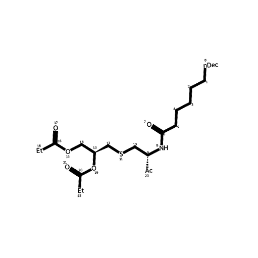 CCCCCCCCCCCCCCCC(=O)N[C@@H](CSC[C@H](COC(=O)CC)OC(=O)CC)C(C)=O